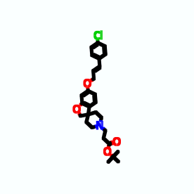 CC(C)(C)OC(=O)CCN1CCC2(CC1)COc1cc(OCC=Cc3ccc(Cl)cc3)ccc12